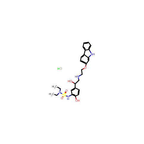 CCN(CC)S(=O)(=O)Nc1cc(C(O)CNCCOc2ccc3c(c2)[nH]c2ccccc23)ccc1O.Cl